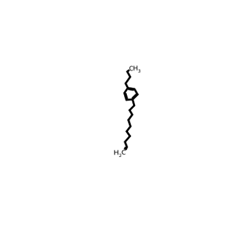 C=CCCCCCCCCc1ccc(CCCC)cc1